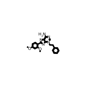 COc1ccc(-c2nc3c(N)ncn(CCc4ccccc4)c-3n2)c(OC)c1